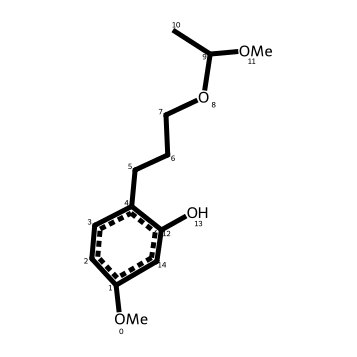 COc1ccc(CCCOC(C)OC)c(O)c1